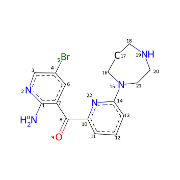 Nc1ncc(Br)cc1C(=O)c1cccc(N2CCCNCC2)n1